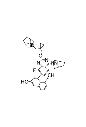 C#Cc1cccc2cc(O)cc(-c3ccc4c(N5CC6CCC(C5)N6)nc(OCC5(CN6CC7CCC(C6)C7=O)CC5)nc4c3F)c12